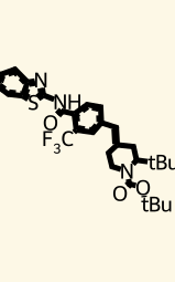 CC(C)(C)OC(=O)N1CCC(=Cc2ccc(C(=O)Nc3nc4ccccc4s3)c(C(F)(F)F)c2)CC1C(C)(C)C